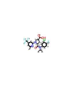 Cc1cc(C(F)(F)F)cc(N2C[C@@H](C(=O)O)C[C@H]2C(=O)N(c2ccc(F)c(Cl)c2)C(C)C)n1